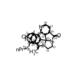 C=C(c1cccnc1SCCC)N1CCN2C(=O)c3ccncc3C12c1ccc(Cl)cc1